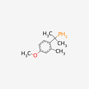 COc1ccc(C(C)(C)P)c(C)c1